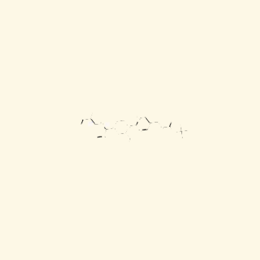 C=N/C(=N\C=C(/C)C(=O)O)N1CCN(c2ncc(CNC(=O)OC(C)(C)C)cn2)C(CO)C1